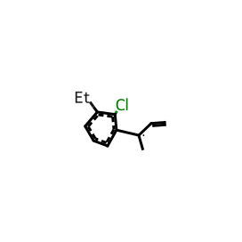 C=C[C](C)c1cccc(CC)c1Cl